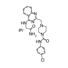 CC(C)[C@H](Nc1nc(CN2CCN(C(=O)Nc3ccc(Cl)cc3)CC2)nc2ccccc12)C(N)=O